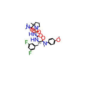 COc1ccc(N(C)C(=O)[C@H](Cc2cc(F)cc(F)c2)NC(=O)NS(=O)(=O)N2CCC[C@@]2(C)C(=O)N(C)C)cc1